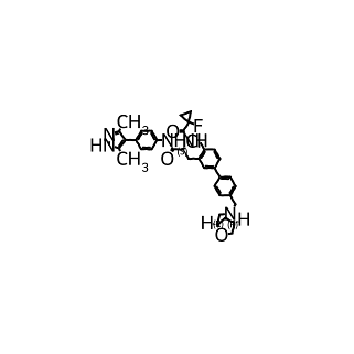 Cc1n[nH]c(C)c1-c1ccc(NC(=O)[C@H](Cc2cc(-c3ccc(CN4C[C@H]5C[C@@H]4CO5)cc3)ccc2Cl)NC(=O)C2(F)CC2)cc1